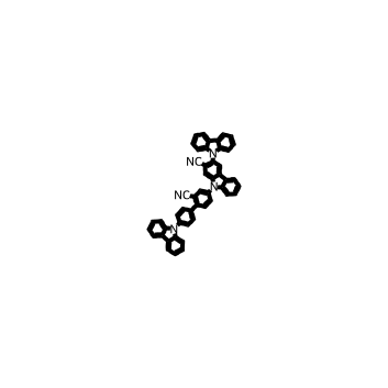 N#Cc1cc(-n2c3ccccc3c3cc(-n4c5ccccc5c5ccccc54)c(C#N)cc32)ccc1-c1ccc(-n2c3ccccc3c3ccccc32)cc1